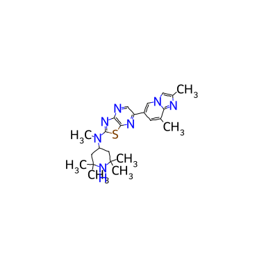 Cc1cn2cc(-c3cnc4nc(N(C)C5CC(C)(C)NC(C)(C)C5)sc4n3)cc(C)c2n1